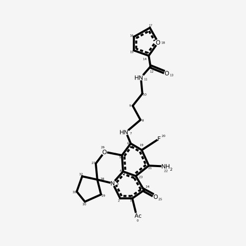 CC(=O)c1cn2c3c(c(NCCCNC(=O)c4ccco4)c(F)c(N)c3c1=O)OCC21CCCC1